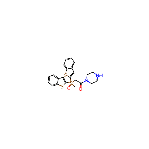 CS(=O)(CC(=O)N1CCNCC1)(c1cc2ccccc2s1)c1cc2ccccc2s1